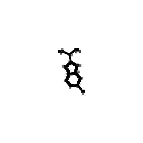 CCc1ccc2nc(N(C)C)oc2c1